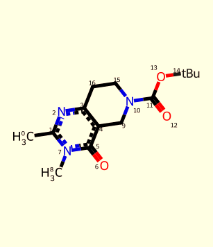 Cc1nc2c(c(=O)n1C)CN(C(=O)OC(C)(C)C)CC2